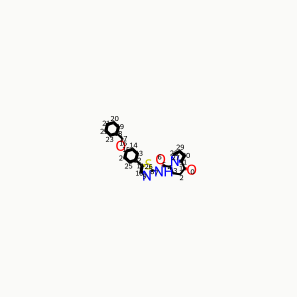 O=C1CCC(C(=O)Nc2ncc(-c3ccc(OCc4ccccc4)cc3)s2)n2cccc21